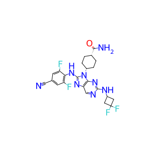 N#Cc1cc(F)c(Nc2nc3cnc(NC4CC(F)(F)C4)nc3n2[C@H]2CC[C@@H](C(N)=O)CC2)c(F)c1